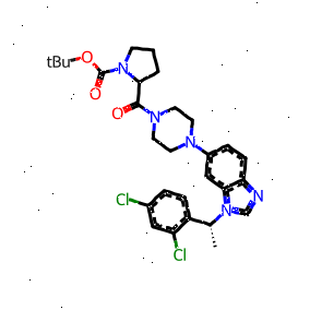 C[C@H](c1ccc(Cl)cc1Cl)n1cnc2ccc(N3CCN(C(=O)C4CCCN4C(=O)OC(C)(C)C)CC3)cc21